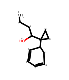 CCCC(O)C1(C2C=CC=CC2)CC1